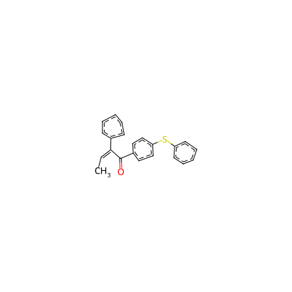 C/C=C(\C(=O)c1ccc(Sc2ccccc2)cc1)c1ccccc1